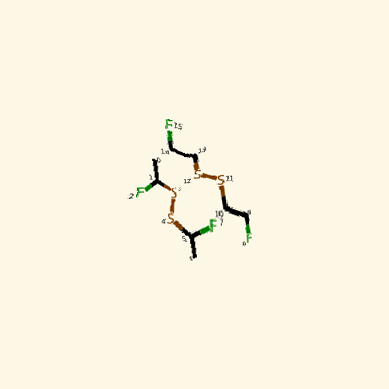 CC(F)SSC(C)F.FCCSSCCF